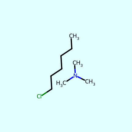 CCCCCCCl.CN(C)C